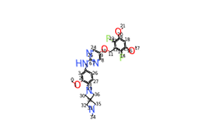 COc1cc(Nc2ncc(OCc3c(F)c(OC)cc(OC)c3F)cn2)ccc1N1CC2(CN(C)C2)C1